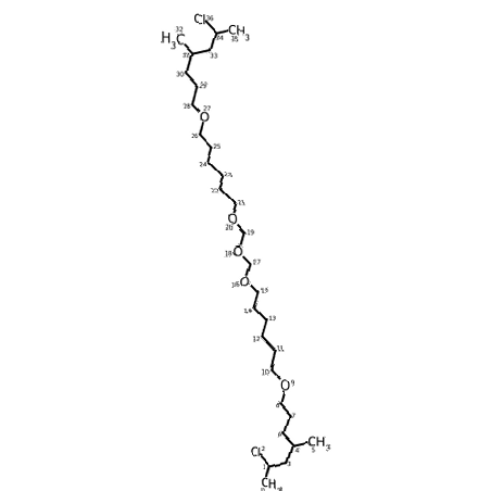 CC(Cl)CC(C)CCCOCCCCCCOCOCOCCCCCCOCCCC(C)CC(C)Cl